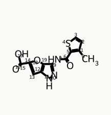 Cc1ccsc1C(=O)Nc1n[nH]c2cc(C(=O)O)oc12